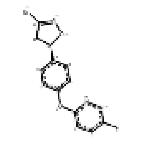 Cc1ccc(Oc2ccc([C@H]3CC(Br)=NO3)cc2)nn1